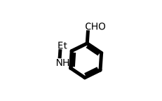 CCN.O=Cc1ccccc1